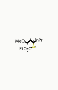 CCCC(CCOC)SC(=O)OCC